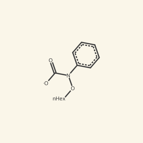 CCCCCCON(C([O])=O)c1ccccc1